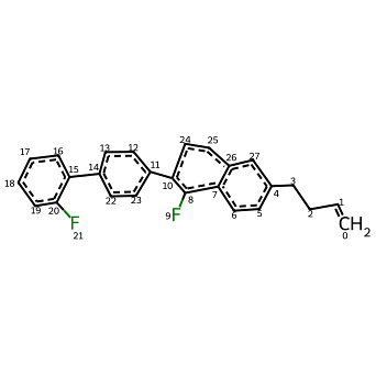 C=CCCc1ccc2c(F)c(-c3ccc(-c4ccccc4F)cc3)ccc2c1